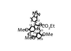 CCOC(=O)Oc1c(-c2ccc3nsnc3c2)c2cc(OC)c(OC(C)C)cc2n1Cc1cc(OC)ccc1OC